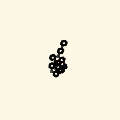 c1ccc(-c2ccc(N(c3ccc4c(c3)C3(c5ccccc5Oc5ccccc53)c3ccccc3-4)c3ccccc3-c3ccc4c(c3)C3(c5ccccc5Oc5ccccc53)c3ccccc3-4)cc2)cc1